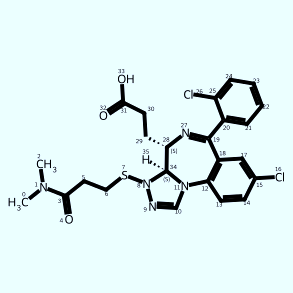 CN(C)C(=O)CCSN1N=CN2c3ccc(Cl)cc3C(c3ccccc3Cl)=N[C@@H](CCC(=O)O)[C@H]12